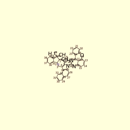 C=C1/C(=C\c2c(C)n(-c3nc4c5c(cccc5n3)Oc3ccccc3-4)c3ccc4ccccc4c23)c2ccccc2C1(C)C